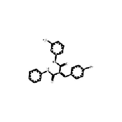 CC(C)c1ccc(C=C(C(=O)Nc2ccccc2)C(=O)Nc2cccc(C(F)(F)F)c2)cc1